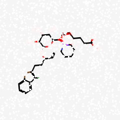 O=C(O)CCC/C=C\CN1C(=O)CCC[C@@H]1/C=C/C(CCc1sc2ccccc2c1Cl)O[C@@H]1OC(C(=O)O)[C@@H](O)[C@H](O)C1O